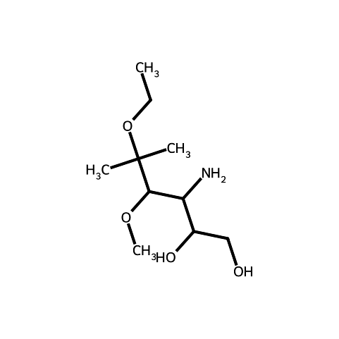 CCOC(C)(C)C(OC)C(N)C(O)CO